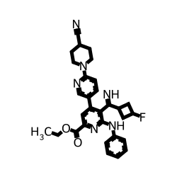 CCOC(=O)c1cc(-c2ccc(N3CCC(C#N)CC3)nc2)c(C(=N)C2CC(F)C2)c(Nc2ccccc2)n1